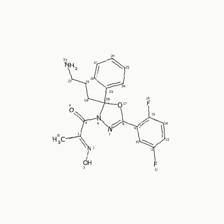 CC(=NO)C(=O)N1N=C(c2cc(F)ccc2F)OC1(CCCN)c1ccccc1